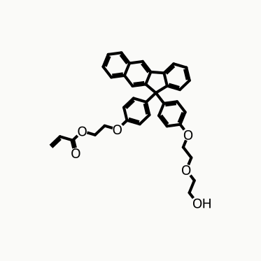 C=CC(=O)OCCOc1ccc(C2(c3ccc(OCCOCCO)cc3)c3ccccc3-c3cc4ccccc4cc32)cc1